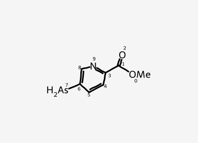 COC(=O)c1ccc([AsH2])cn1